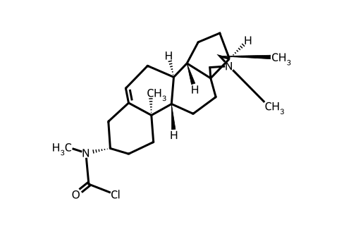 C[C@H]1[C@H]2CC[C@H]3[C@@H]4CC=C5C[C@@H](N(C)C(=O)Cl)CC[C@]5(C)[C@H]4CCC23CN1C